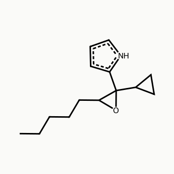 CCCCCC1OC1(c1ccc[nH]1)C1CC1